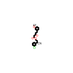 N#CC(CCOC(=O)CC(=O)C=Cc1cccc(OC(F)(F)F)c1)c1cccc(Cl)c1